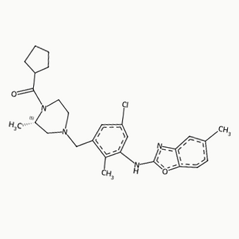 Cc1ccc2oc(Nc3cc(Cl)cc(CN4CCN(C(=O)C5CCCC5)[C@@H](C)C4)c3C)nc2c1